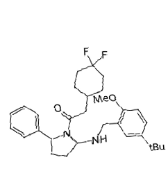 COc1ccc(C(C)(C)C)cc1CNC1CCC(c2ccccc2)N1C(=O)CC1CCC(F)(F)CC1